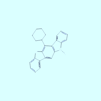 Cn1c2ccccc2c2c(C3CCCCC3)c3oc4ccccc4c3cc21